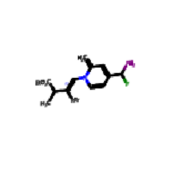 C=C1C=C(C(F)P)C=CN1/C=C(\CCC)C(C)C(=O)OCC